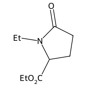 CCOC(=O)C1CCC(=O)N1CC